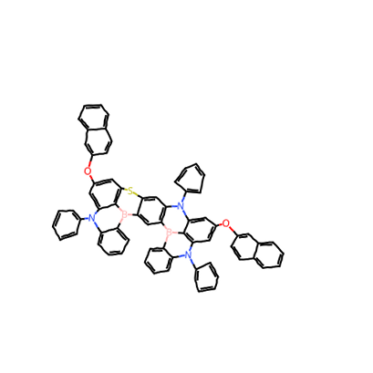 c1ccc(N2c3ccccc3B3c4cc5c(cc4Sc4cc(Oc6ccc7ccccc7c6)cc2c43)N(c2ccccc2)c2cc(Oc3ccc4ccccc4c3)cc3c2B5c2ccccc2N3c2ccccc2)cc1